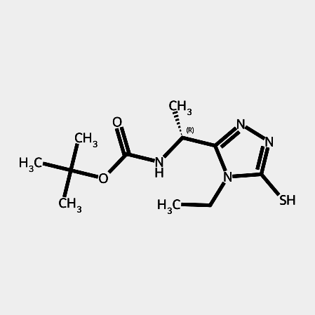 CCn1c(S)nnc1[C@@H](C)NC(=O)OC(C)(C)C